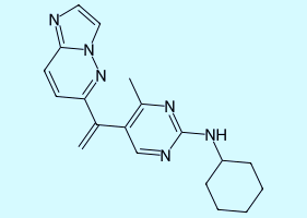 C=C(c1ccc2nccn2n1)c1cnc(NC2CCCCC2)nc1C